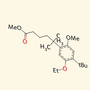 CCOc1cc(C(C)(C)CCCC(=O)OC)c(OC)cc1C(C)(C)C